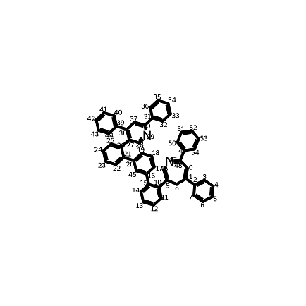 C1=C(c2ccccc2)CC(c2ccccc2-c2cccc(-c3ccccc3-c3cnc(-c4ccccc4)cc3-c3ccccc3)c2)=CN=C1c1ccccc1